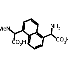 CNC(C(=O)O)c1cccc2c(C(N)C(=O)O)cccc12